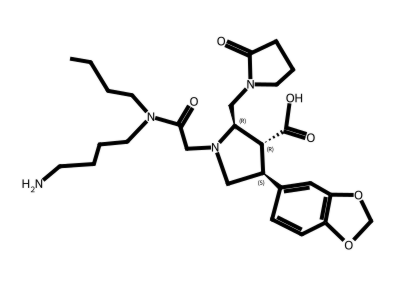 CCCCN(CCCCN)C(=O)CN1C[C@H](c2ccc3c(c2)OCO3)[C@@H](C(=O)O)[C@@H]1CN1CCCC1=O